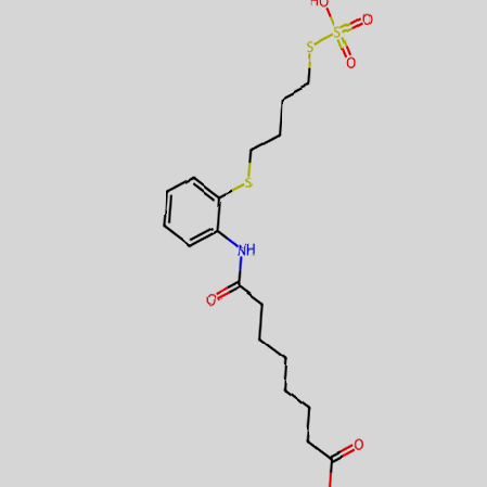 O=C(O)CCCCCCC(=O)Nc1ccccc1SCCCCSS(=O)(=O)O